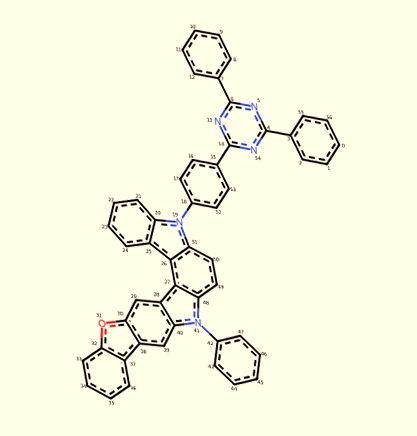 c1ccc(-c2nc(-c3ccccc3)nc(-c3ccc(-n4c5ccccc5c5c6c7cc8oc9ccccc9c8cc7n(-c7ccccc7)c6ccc54)cc3)n2)cc1